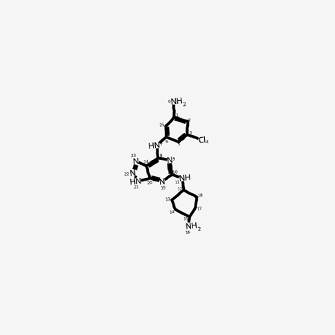 Nc1cc(Cl)cc(Nc2nc(NC3CCC(N)CC3)nc3[nH]nnc23)c1